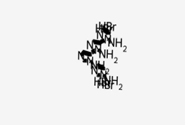 Br.Br.Br.Br.Nn1ccnc1.Nn1ccnc1.Nn1ccnc1.Nn1ccnc1